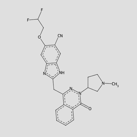 CN1CCC(n2nc(Cc3nc4cc(OCC(F)F)c(C#N)cc4[nH]3)c3ccccc3c2=O)C1